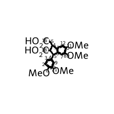 COc1ccc(C2c3cc(OC)c(OC)cc3C(CC(=O)O)C2C(=O)O)cc1OC